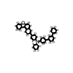 C1=C(c2ccc(N(c3ccccc3)c3ccc(-c4cccc(-c5ccccc5)c4)cc3)cc2)CCc2c1ccc1oc3ccccc3c21